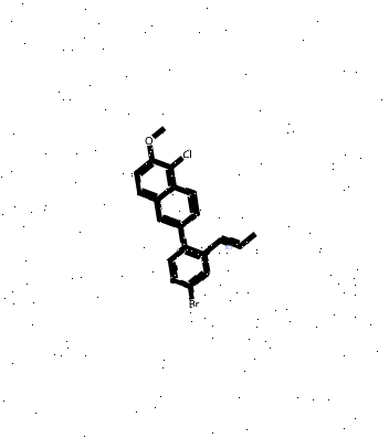 C/C=C/c1cc(Br)ccc1-c1ccc2c(Cl)c(OC)ccc2c1